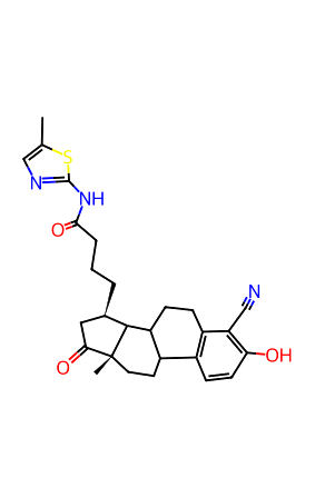 Cc1cnc(NC(=O)CCC[C@@H]2CC(=O)[C@@]3(C)CCC4c5ccc(O)c(C#N)c5CCC4C23)s1